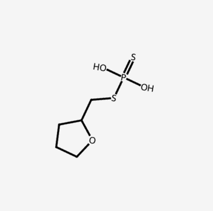 OP(O)(=S)SCC1CCCO1